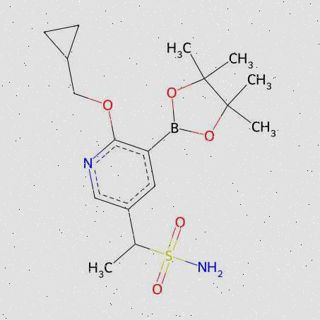 CC(c1cnc(OCC2CC2)c(B2OC(C)(C)C(C)(C)O2)c1)S(N)(=O)=O